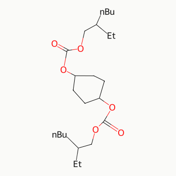 CCCCC(CC)COC(=O)OC1CCC(OC(=O)OCC(CC)CCCC)CC1